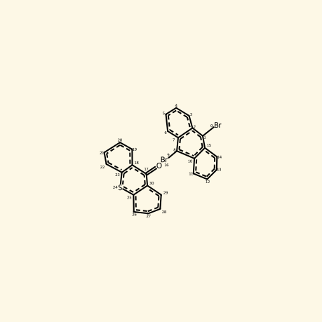 Brc1c2ccccc2c(Br)c2ccccc12.O=c1c2ccccc2sc2ccccc12